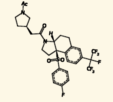 CC(=O)N1CC[C@H](CC(=O)N2CC[C@@]3(S(=O)(=O)c4ccc(F)cc4)c4ccc(C(F)(C(F)(F)F)C(F)(F)F)cc4CC[C@@H]23)C1